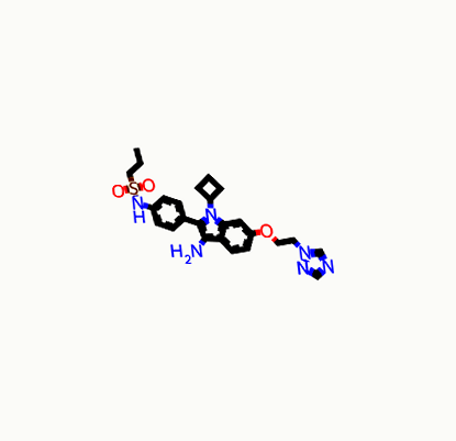 CCCS(=O)(=O)Nc1ccc(-c2c(N)c3ccc(OCCn4cncn4)cc3n2C2CCC2)cc1